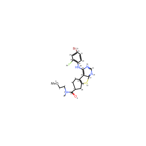 COCCN(C)C(=O)C1CCc2c(sc3ncnc(Nc4ccc(Br)cc4F)c23)C1